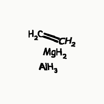 C=C.[AlH3].[MgH2]